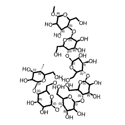 CO[C@@H]1OC(CO)[C@@H](O[C@@H]2OC(CO)[C@@H](O[C@@H]3OC(CO)[C@@H](O[C@@H]4OC(CO)[C@@H](O[C@@H]5OC(CO)[C@@H](O[C@@H]6OC(CO)[C@@H](O[C@@H]7OC(CO)[C@@H](C)[C@H](O)C7O)[C@H](O)C6O)[C@H](O)C5O)[C@H](O)C4O)[C@H](O)C3O)[C@H](O)C2O)[C@H](O)C1O